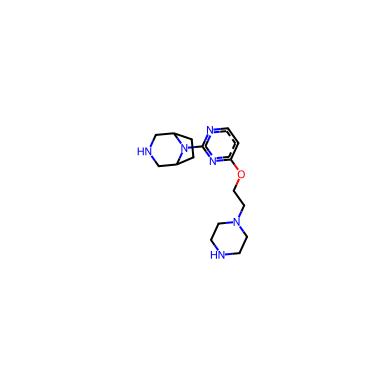 c1cc(OCCN2CCNCC2)nc(N2C3CCC2CNC3)n1